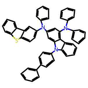 c1ccc(-c2ccc(-n3c4ccccc4c4c(N(c5ccccc5)c5ccccc5)cc(N(c5ccccc5)c5ccc6sc7ccccc7c6c5)cc43)cc2)cc1